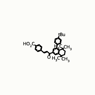 CC(C)(C)c1ccc(-c2cc(C(=O)C=Cc3ccc(C(=O)O)cc3)cc3c2C(C)(C)CCC3(C)C)cc1